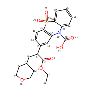 CCOC(=O)C(CC1CCOCC1)c1ccc2c(c1)N(C(=O)O)c1ccccc1S2(=O)=O